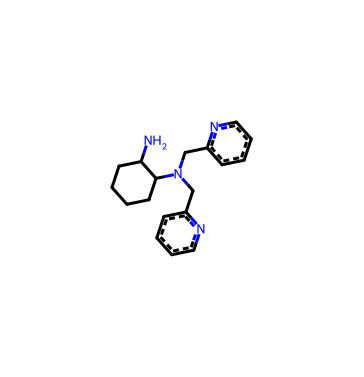 NC1CCCCC1N(Cc1ccccn1)Cc1ccccn1